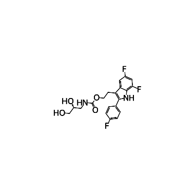 O=C(NC[C@H](O)CO)OCCc1c(-c2ccc(F)cc2)[nH]c2c(F)cc(F)cc12